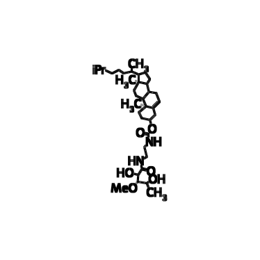 CO[C@@H](C(C)O)C(O)C(=O)NCCNC(=O)OC1CC[C@]2(C)C(=CCC3C4CCC(C(C)CCCC(C)C)[C@]4(C)CCC32)C1